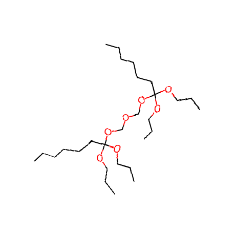 CCCCCCC(OCCC)(OCCC)OCOCOC(CCCCCC)(OCCC)OCCC